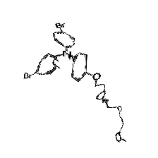 COCCOCCOCCOc1ccc(N(c2ccc(Br)cc2)c2ccc(Br)cc2)cc1